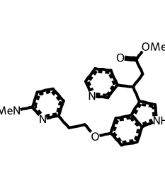 CNc1cccc(CCOc2ccc3[nH]cc(C(CC(=O)OC)c4cccnc4)c3c2)n1